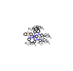 CC(C)(C)c1ccc(N(c2ccc(C(C)(C)C)cc2)c2cc3c4c(c2)N(c2ccc(C(C)(C)C)cc2)c2c5n(c6c7c(ccc26)Sc2ccccc2S7)-c2cccc(c2)C(C)(C)c2ccc(c(c2)B45)N3c2ccc(C(C)(C)C)cc2)cc1